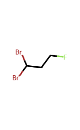 FCCC(Br)Br